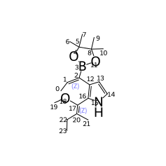 C/C=C(/B1OC(C)(C)C(C)(C)O1)c1cc[nH]c1/C(OC)=C(\C)CC